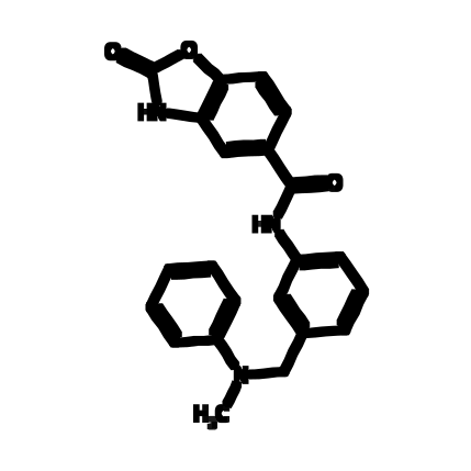 CN(Cc1cccc(NC(=O)c2ccc3oc(=O)[nH]c3c2)c1)c1ccccc1